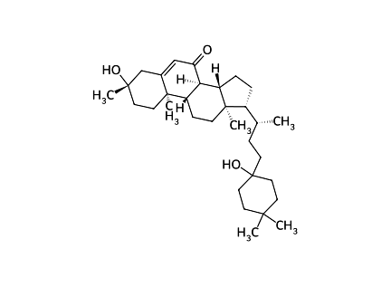 C[C@H](CCC1(O)CCC(C)(C)CC1)[C@H]1CC[C@H]2[C@@H]3C(=O)C=C4C[C@@](C)(O)CC[C@]4(C)[C@H]3CC[C@]12C